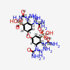 NC(=O)N(N)c1cc(Oc2cc(N(N)C(N)=O)c(N(N)C(N)=O)c(S(=O)(=O)O)c2)cc(S(=O)(=O)O)c1N(N)C(N)=O